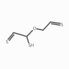 S=CCOC(S)C=S